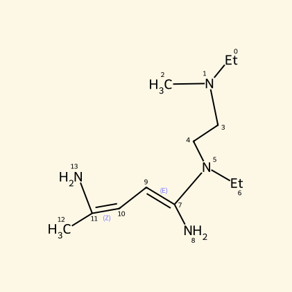 CCN(C)CCN(CC)/C(N)=C/C=C(/C)N